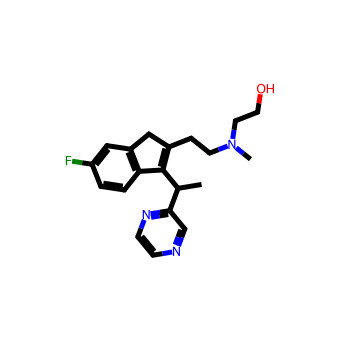 CC(C1=C(CCN(C)CCO)Cc2cc(F)ccc21)c1cnccn1